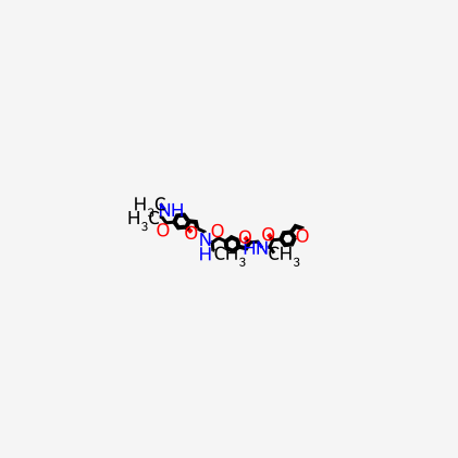 CCC(NCc1cc2ccc(C(=O)C(C)NC)cc2o1)C(=O)c1ccc2cc(CNC(C)C(=O)c3ccc4occc4c3)oc2c1